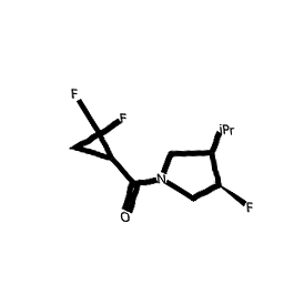 CC(C)C1CN(C(=O)C2CC2(F)F)C[C@@H]1F